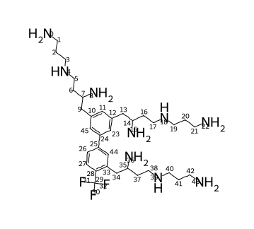 NCCCNCCC(N)Cc1cc(CC(N)CCNCCCN)cc(-c2ccc(C(F)(F)F)c(CC(N)CCNCCCN)c2)c1